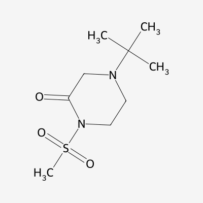 CC(C)(C)N1CCN(S(C)(=O)=O)C(=O)C1